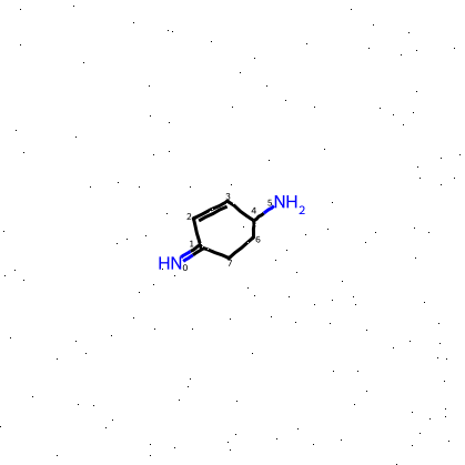 N=C1C=CC(N)CC1